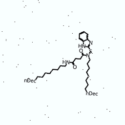 CCCCCCCCCCCCCCCCCCNC(=O)CCC(=O)N(CCCCCCCCCCCCCCCCCC)Sc1nc2ccccc2[nH]1